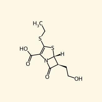 CCSC1=C(C(=O)O)N2C(=O)[C@H](CCO)[C@H]2S1